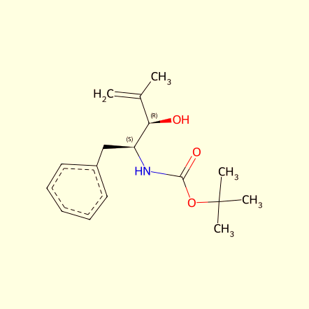 C=C(C)[C@@H](O)[C@H](Cc1ccccc1)NC(=O)OC(C)(C)C